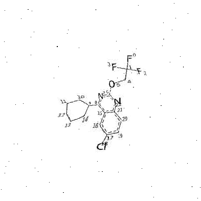 FC(F)(F)COc1nc(C2CCCCC2)c2cc(Cl)ccc2n1